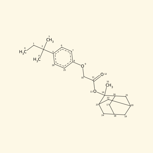 CCC(C)(C)c1ccc(OCC(=O)OC2(C)C3CC4CC(C3)CC2C4)cc1